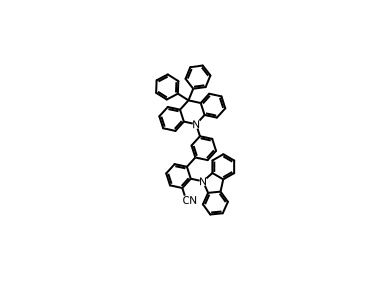 N#Cc1cccc(-c2cccc(N3c4ccccc4C(c4ccccc4)(c4ccccc4)c4ccccc43)c2)c1-n1c2ccccc2c2ccccc21